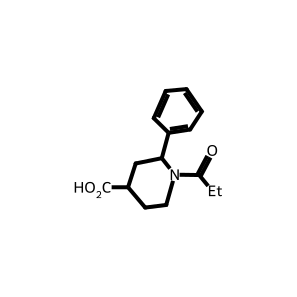 CCC(=O)N1CCC(C(=O)O)CC1c1ccccc1